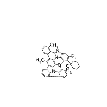 CCc1cc2nc3c4c(C)cccc4c4c(C)c5c6cccc7c8cccc9c8n(c5c5c4n3c2c(c1C1(C)CCCCC1)B95)c76